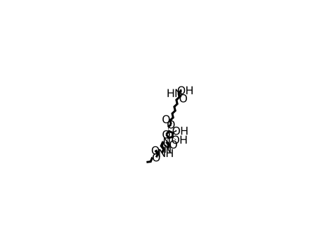 CCCOC(=O)Nc1ccn([C@@H]2O[C@H](COC(=O)CCCCCCC(=O)NO)[C@@H](O)[C@@H]2O)c(=O)n1